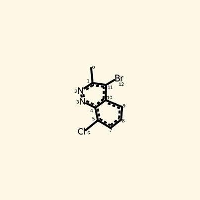 Cc1nnc2c(Cl)cccc2c1Br